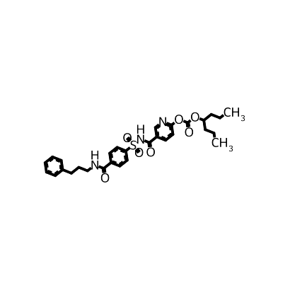 CCCC(CCC)OC(=O)Oc1ccc(C(=O)NS(=O)(=O)c2ccc(C(=O)NCCCc3ccccc3)cc2)cn1